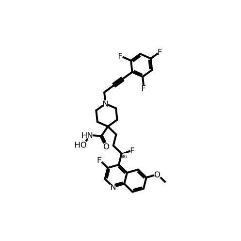 COc1ccc2ncc(F)c([C@H](F)CCC3(C(=O)NO)CCN(CC#Cc4c(F)cc(F)cc4F)CC3)c2c1